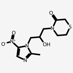 Cc1ncc([N+](=O)[O-])n1CC(O)CN1CCSCC1=O